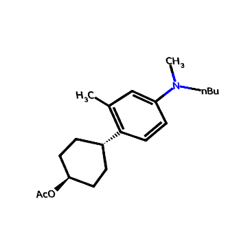 CCCCN(C)c1ccc([C@H]2CC[C@H](OC(C)=O)CC2)c(C)c1